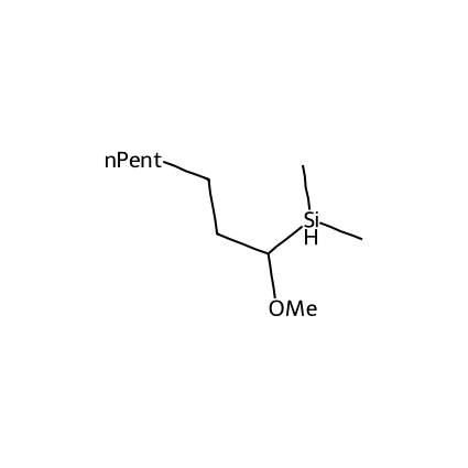 CCCCCCCC(OC)[SiH](C)C